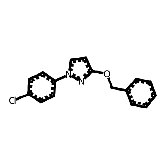 Clc1ccc(-n2ccc(OCc3ccccc3)n2)cc1